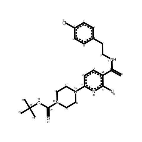 C=C(NCCc1ccc(Cl)cc1)c1ccc(N2CCN(C(=O)OC(C)(C)C)CC2)nc1Cl